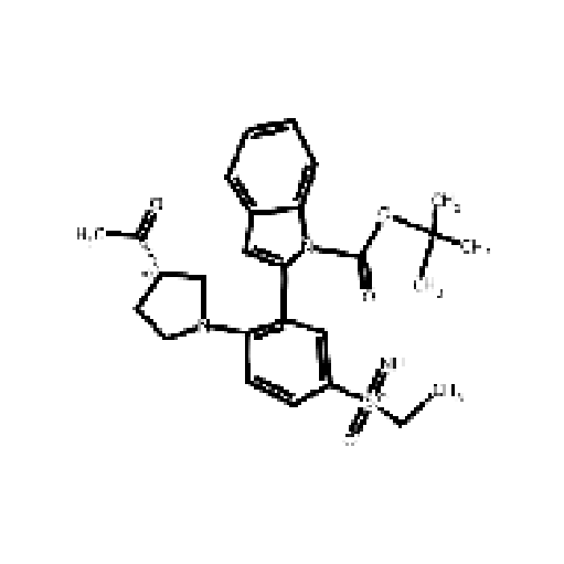 CC[S@@](=N)(=O)c1ccc(N2CC[C@H](C(C)=O)C2)c(-c2cc3ccccc3n2C(=O)OC(C)(C)C)c1